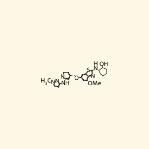 COc1cc(OCc2ccnc(Nc3ccn(C)n3)c2)cc2sc(N[C@H]3CCCC[C@@H]3O)nc12